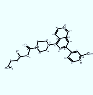 CCCC(F)OC(=O)N1CCN(c2nc(-c3ccnc(Cl)c3)cc3cnccc23)CC1